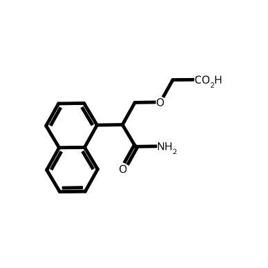 NC(=O)C(COCC(=O)O)c1cccc2ccccc12